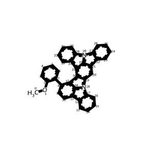 COc1ccccc1-c1ccc2c3ccccc3n3c4cc5c6ccccc6n6c7ccccc7c(c4c1c23)c56